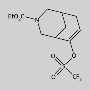 CCOC(=O)N1CC2CC=C(OS(=O)(=O)C(F)(F)F)C(C2)C1